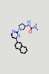 CN(C)C(=O)NC1CCN(c2nccc(-c3ccc4ccccc4c3)n2)C1